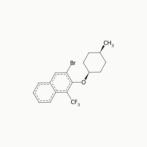 C[C@H]1CC[C@@H](Oc2c(Br)cc3ccccc3c2C(F)(F)F)CC1